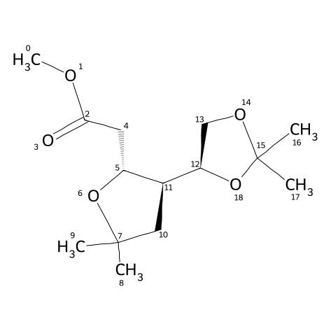 COC(=O)C[C@H]1OC(C)(C)C[C@@H]1[C@H]1COC(C)(C)O1